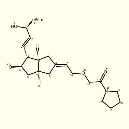 CCCCC[C@H](O)C=C[C@@H]1[C@H]2CC(=CCOCC(=O)N3CCCC3)C[C@H]2C[C@H]1O